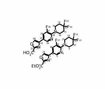 CCOC(=O)c1nc(-c2cnc(N3CCC(F)(F)CC3)c(F)c2)co1.O=C(O)c1nc(-c2cnc(N3CCC(F)(F)CC3)c(F)c2)co1